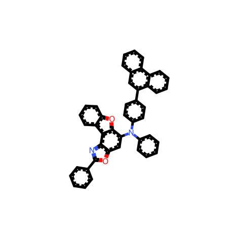 c1ccc(-c2nc3c(cc(N(c4ccccc4)c4ccc(-c5cc6ccccc6c6ccccc56)cc4)c4oc5ccccc5c43)o2)cc1